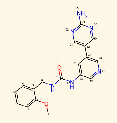 COc1ccccc1CNC(=O)Nc1cncc(-c2cnc(N)nc2)c1